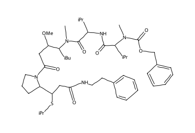 CCC(C)C(C(CC(=O)N1CCCC1C(CC(=O)NCCc1ccccc1)SC(C)C)OC)N(C)C(=O)C(NC(=O)C(C(C)C)N(C)C(=O)OCc1ccccc1)C(C)C